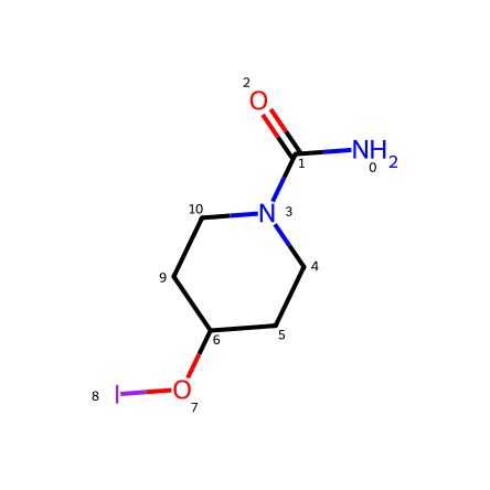 NC(=O)N1CCC(OI)CC1